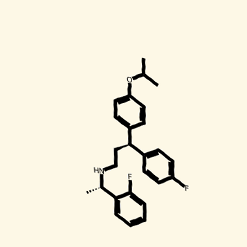 CC(C)Oc1ccc([C@H](CCN[C@@H](C)c2ccccc2F)c2ccc(F)cc2)cc1